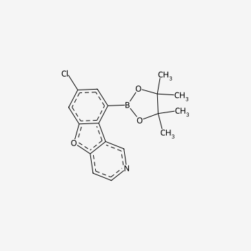 CC1(C)OB(c2cc(Cl)cc3oc4ccncc4c23)OC1(C)C